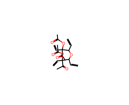 C=CC(OC(C=C)C(C=C)(OC(C)=O)C(C)=O)C(C=C)(OC(C)=O)C(C)=O